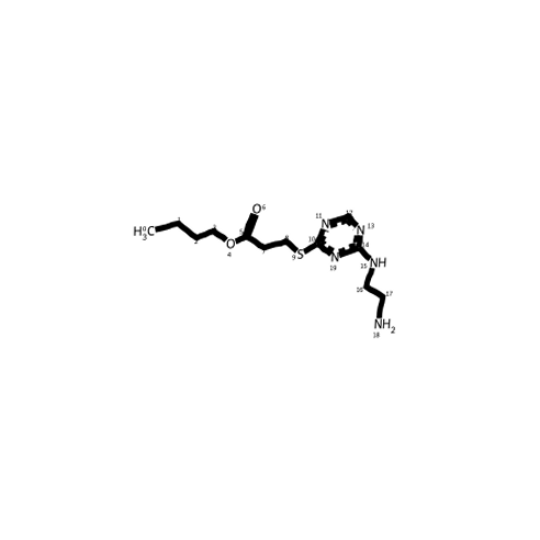 CCCCOC(=O)CCSc1ncnc(NCCN)n1